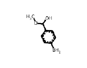 Bc1ccc(C(O)OC)cc1